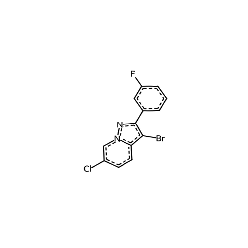 Fc1cccc(-c2nn3cc(Cl)ccc3c2Br)c1